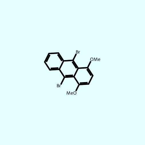 COc1ccc(OC)c2c(Br)c3ccccc3c(Br)c12